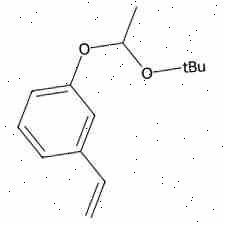 C=Cc1cccc(OC(C)OC(C)(C)C)c1